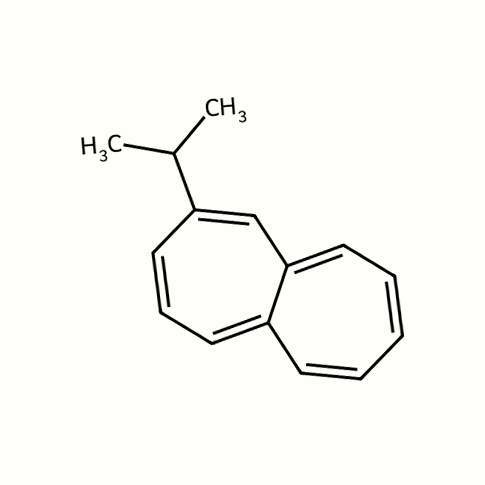 CC(C)C1=CC2=CC=CC=CC2=CC=C1